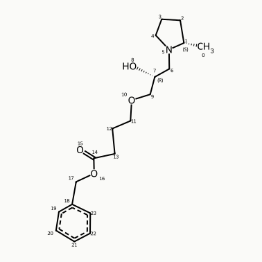 C[C@H]1CCCN1C[C@@H](O)COCCCC(=O)OCc1ccccc1